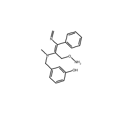 C=N/C(=C(/CON)N(C)Cc1cccc(O)c1)c1ccccc1